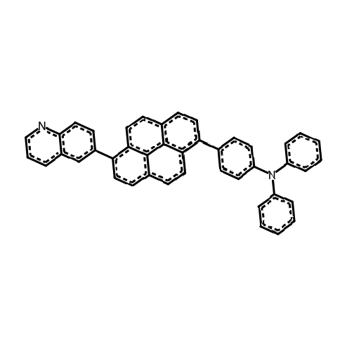 c1ccc(N(c2ccccc2)c2ccc(-c3ccc4ccc5c(-c6ccc7ncccc7c6)ccc6ccc3c4c65)cc2)cc1